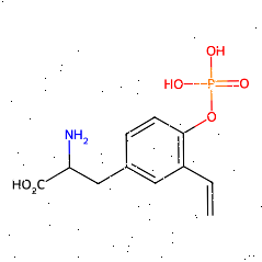 C=Cc1cc(CC(N)C(=O)O)ccc1OP(=O)(O)O